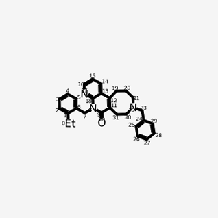 CCc1ccccc1Cn1c(=O)c2c(c3cccnc31)CCCN(Cc1ccccc1)CC2